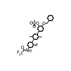 Cc1cc(-c2ccc(NC(=O)C(F)(F)F)cc2F)c(C)cc1-c1ccc(OCc2ccccc2)c(OS(C)(=O)=O)c1